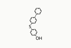 Oc1ccc(Sc2ccc(-c3ccccc3)cc2)cc1